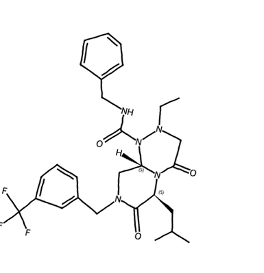 CCN1CC(=O)N2[C@@H](CC(C)C)C(=O)N(Cc3cccc(C(F)(F)F)c3)C[C@@H]2N1C(=O)NCc1ccccc1